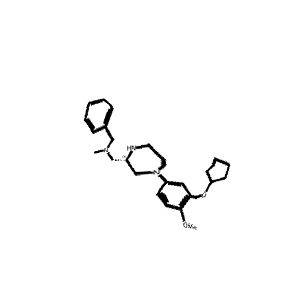 COc1ccc(N2CCN[C@@H](CN(C)Cc3ccccc3)C2)cc1OC1CCCC1